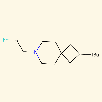 CC(C)(C)C1CC2(CCN(CCF)CC2)C1